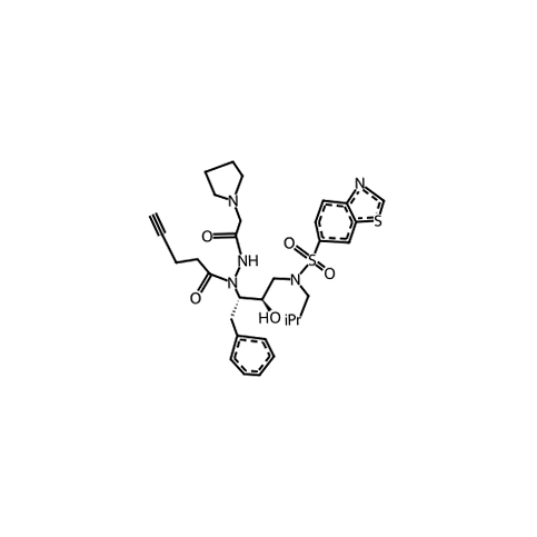 C#CCCC(=O)N(NC(=O)CN1CCCC1)[C@@H](Cc1ccccc1)[C@H](O)CN(CC(C)C)S(=O)(=O)c1ccc2ncsc2c1